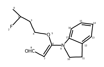 CC(F)CCOC(=CC=O)N1CCc2ccccc21